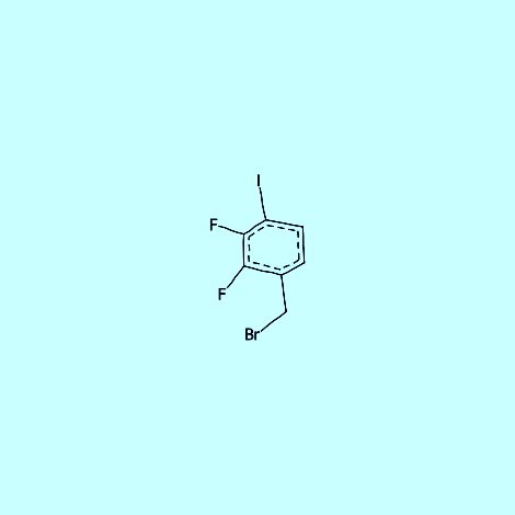 Fc1c(I)ccc(CBr)c1F